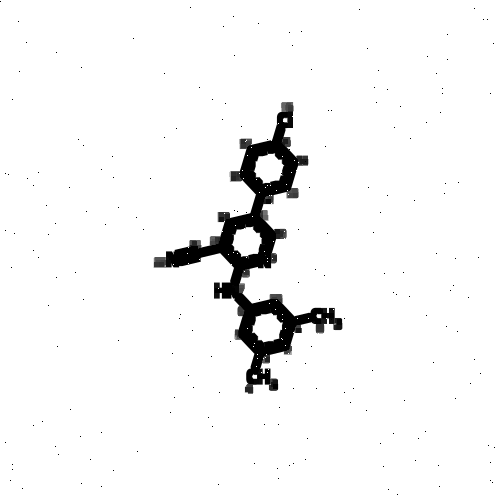 Cc1cc(C)cc(Nc2ncc(-c3ccc(Cl)cc3)cc2C#N)c1